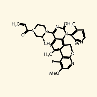 C=CC(=O)N1CCN(c2nc(=O)n(-c3c(C)ccnc3C(C)C)c3c4c(c(C)cc23)-c2c(ncc(OC)c2F)OC4)[C@@H](C)C1